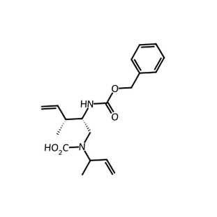 C=CC(C)N(C[C@@H](NC(=O)OCc1ccccc1)[C@H](C)C=C)C(=O)O